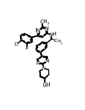 Cc1nc(N[C@@H](C)c2cccc(-c3cnc(N4CCC(O)CC4)nc3)c2)cc(-c2ccc(Cl)c(F)c2)n1